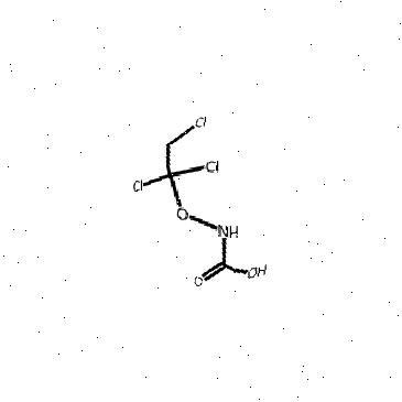 O=C(O)NOC(Cl)(Cl)CCl